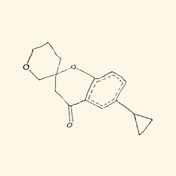 O=C1CC2(CCCOC2)Oc2ccc(C3CC3)cc21